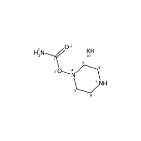 NC(=O)ON1CCNCC1.[KH]